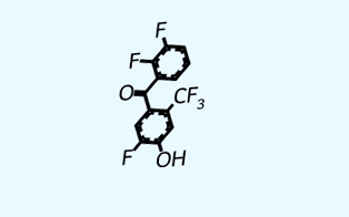 O=C(c1cc(F)c(O)cc1C(F)(F)F)c1cccc(F)c1F